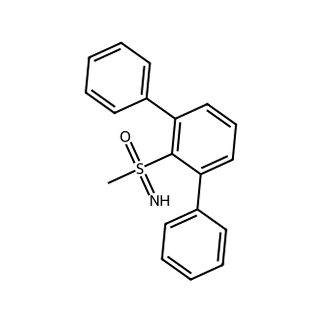 CS(=N)(=O)c1c(-c2ccccc2)cccc1-c1ccccc1